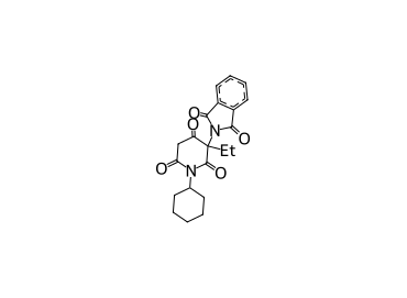 CCC1(N2C(=O)c3ccccc3C2=O)C(=O)CC(=O)N(C2CCCCC2)C1=O